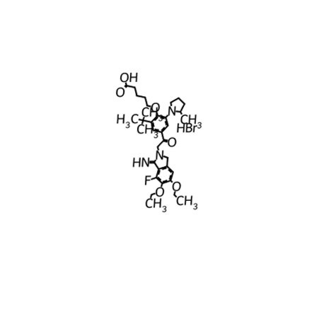 Br.CCOc1cc2c(c(F)c1OCC)C(=N)N(CC(=O)c1cc(N3CCCC3C)c(OCCCCC(=O)O)c(C(C)(C)C)c1)C2